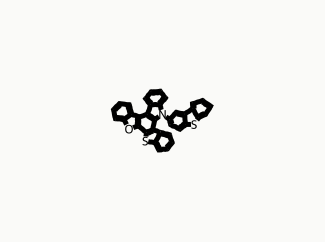 c1ccc2c(c1)oc1c3sc4ccccc4c3c3c(c4ccccc4n3-c3ccc4sc5ccccc5c4c3)c21